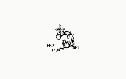 CC(C)c1nn(Cc2ccc(S(=O)(=O)N(C)C)c(Cl)c2)c(C(C)C)c1C/C(F)=C/CN.Cl